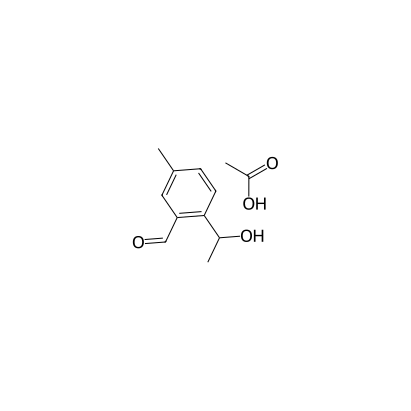 CC(=O)O.Cc1ccc(C(C)O)c(C=O)c1